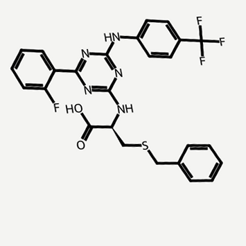 O=C(O)[C@H](CSCc1ccccc1)Nc1nc(Nc2ccc(C(F)(F)F)cc2)nc(-c2ccccc2F)n1